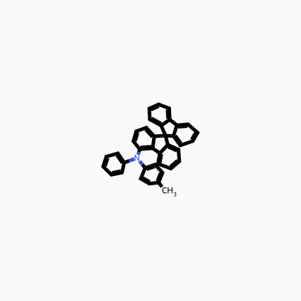 Cc1ccc(N(c2ccccc2)c2cccc3c2-c2ccccc2C32c3ccccc3-c3ccccc32)cc1